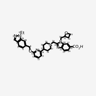 CCn1ncc2ccc(COc3cccc(C4CCN(Cc5nc6ccc(C(=O)O)cc6n5CC5CCO5)CC4)n3)cc21